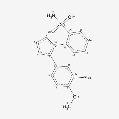 COc1ccc(-c2cccn2-c2ccccc2S(N)(=O)=O)cc1F